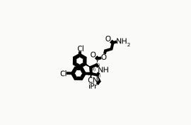 CC(C)C[C@@H]1N[C@@H](C(=O)OCCC(N)=O)[C@H](c2cccc(Cl)c2)[C@@]1(C#N)c1ccc(Cl)cc1